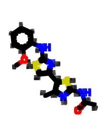 COc1ccccc1Nc1nc(-c2sc(NC(C)=O)nc2C)cs1